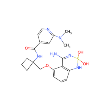 CN(C)c1cc(C(=O)NC2(COc3cccc4c3C(N)=NS(O)(O)N4)CCC2)ccn1